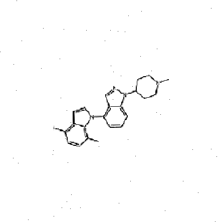 Cc1ccc(F)c2ccn(-c3cccc4c3cnn4C3CCN(C)CC3)c12